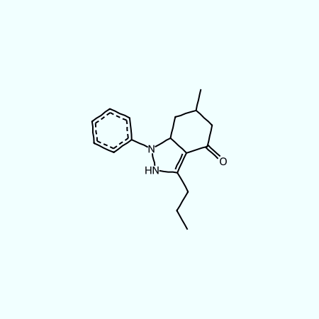 CCCC1=C2C(=O)CC(C)CC2N(c2ccccc2)N1